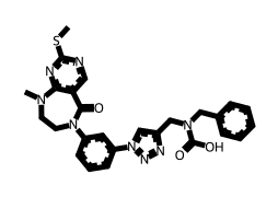 CSc1ncc2c(n1)N(C)CCN(c1cccc(-n3cc(CN(Cc4ccccc4)C(=O)O)nn3)c1)C2=O